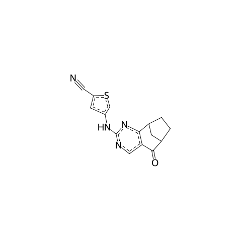 N#Cc1cc(Nc2ncc3c(n2)C2CCC(C2)C3=O)cs1